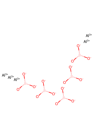 [Al+3].[Al+3].[Al+3].[Al+3].[Al+3].[O-]B([O-])[O-].[O-]B([O-])[O-].[O-]B([O-])[O-].[O-]B([O-])[O-].[O-]B([O-])[O-]